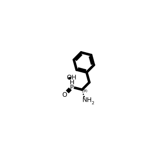 N[C@@H](Cc1ccccc1)[PH](=O)O